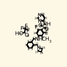 Cc1c(NCc2ccccc2CN2CCC2)cc(F)c(S(=O)(=O)Nc2ccncn2)c1F.O=C(O)C(F)(F)F